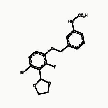 O=C(O)Nc1cccc(COc2ccc(Br)c(C3OCCO3)c2F)c1